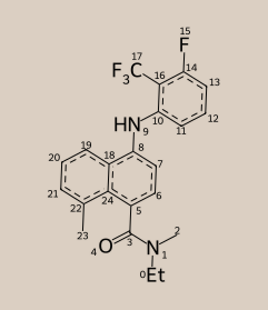 CCN(C)C(=O)c1ccc(Nc2cccc(F)c2C(F)(F)F)c2cccc(C)c12